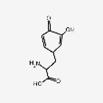 NC(CC1C=CC(=O)C(O)=C1)C(=O)O